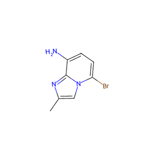 Cc1cn2c(Br)ccc(N)c2n1